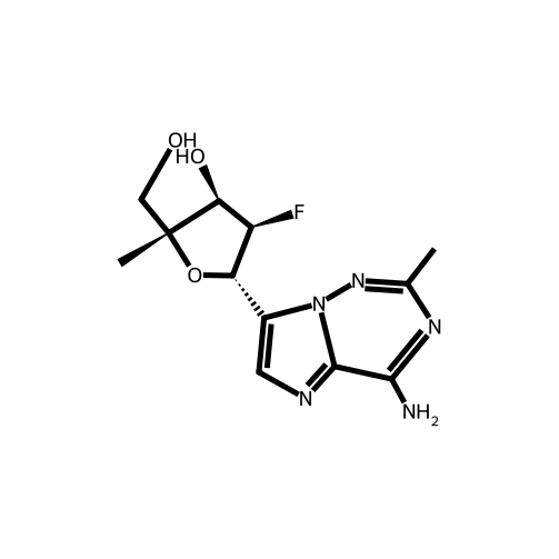 Cc1nc(N)c2ncc([C@@H]3O[C@](C)(CO)[C@@H](O)[C@H]3F)n2n1